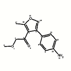 COCC(=O)c1c(-c2ccc(N)cc2)noc1C